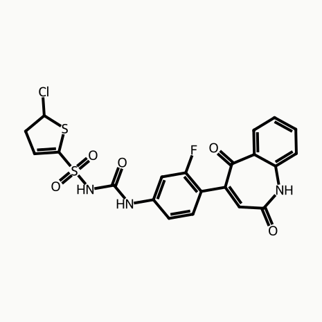 O=C(Nc1ccc(-c2cc(=O)[nH]c3ccccc3c2=O)c(F)c1)NS(=O)(=O)C1=CCC(Cl)S1